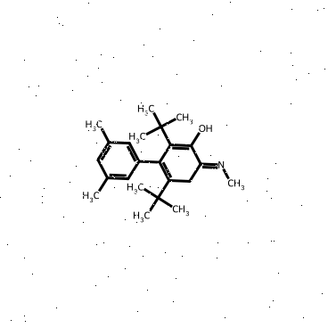 CN=C1CC(C(C)(C)C)=C(c2cc(C)cc(C)c2)C(C(C)(C)C)=C1O